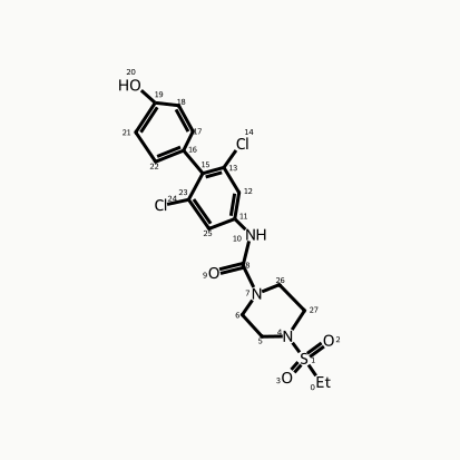 CCS(=O)(=O)N1CCN(C(=O)Nc2cc(Cl)c(-c3ccc(O)cc3)c(Cl)c2)CC1